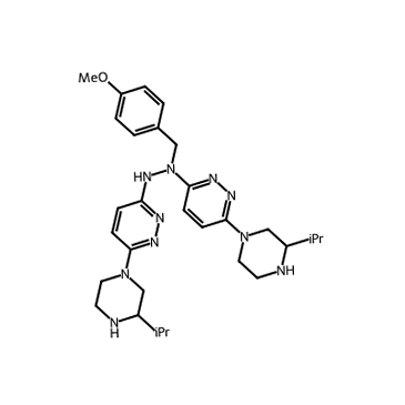 COc1ccc(CN(Nc2ccc(N3CCNC(C(C)C)C3)nn2)c2ccc(N3CCNC(C(C)C)C3)nn2)cc1